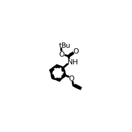 C=COc1ccccc1NC(=O)OC(C)(C)C